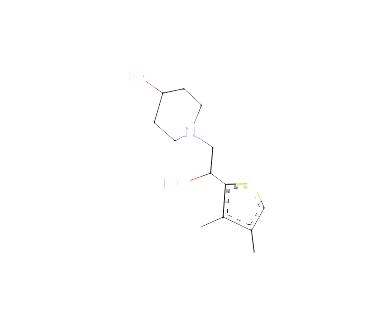 Cc1csc(C(O)CN2CCC(O)CC2)c1C